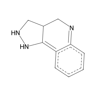 c1ccc2c(c1)=NCC1CNNC=21